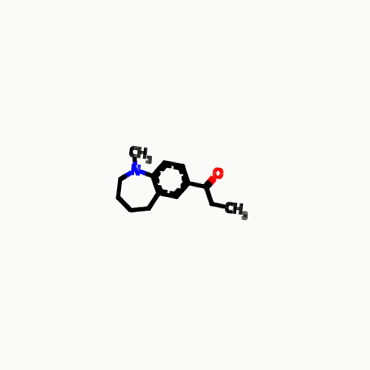 CCC(=O)c1ccc2c(c1)CCCCN2C